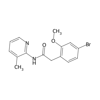 COc1cc(Br)ccc1CC(=O)Nc1ncccc1C